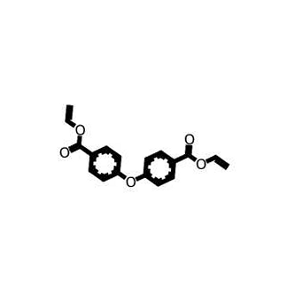 C=COC(=O)c1ccc(Oc2ccc(C(=O)OC=C)cc2)cc1